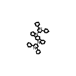 C1=CCCC(c2cc(-n3c4ccccc4c4cc5c(cc43)c3ccccc3n5-c3cc(-c4ccccc4)nc(-c4ccccc4)c3)cc(-c3ccccc3)n2)=C1